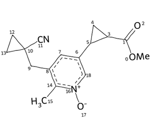 COC(=O)C1CC1c1cc(CC2(C#N)CC2)c(C)[n+]([O-])c1